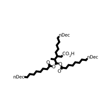 CCCCCCCCCCCCCCCCCC(=O)OC(OC(=O)CCCCCCCCCCCCCCCCC)C(C)C(CCCCCCCCCCCCCCC)CC(=O)O